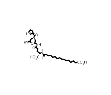 CC(C)C(=O)CN(CCNC(=O)CC[C@H](NC(=O)CCCCCCCCCCCCCCC(=O)O)C(=O)O)C(=O)[C@@H]1CCCN1